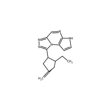 C=C1CC(CC)C(c2nnc3cnc4[nH]ccc4n23)C1